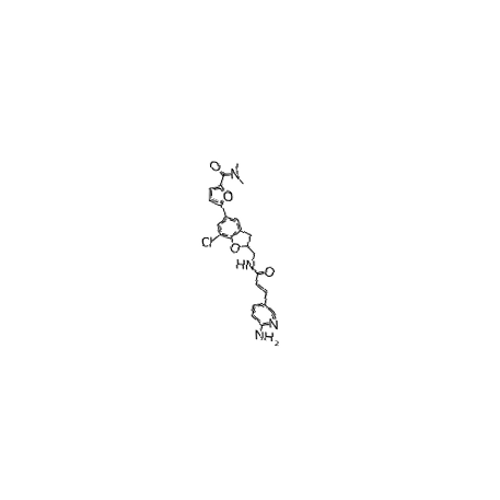 CN(C)C(=O)c1ccc(-c2cc(Cl)c3c(c2)CC(CNC(=O)C=Cc2ccc(N)nc2)O3)o1